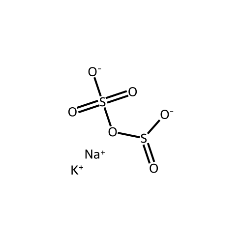 O=S([O-])OS(=O)(=O)[O-].[K+].[Na+]